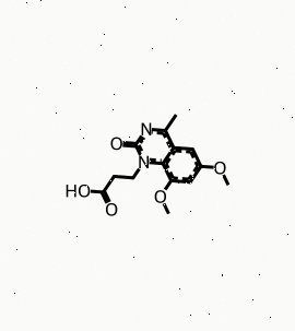 COc1cc(OC)c2c(c1)c(C)nc(=O)n2CCC(=O)O